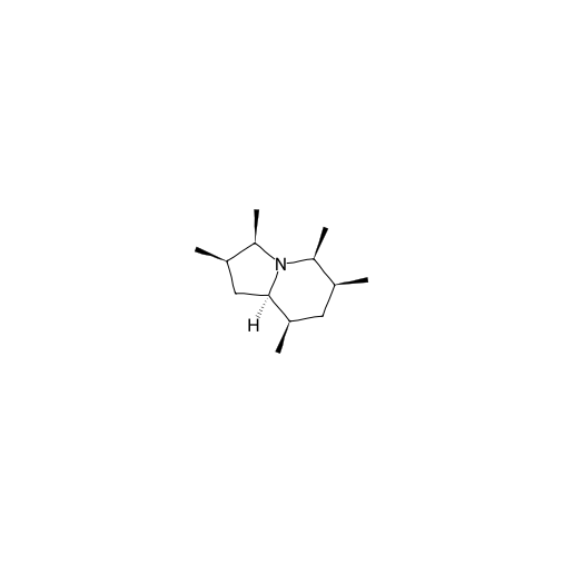 C[C@@H]1C[C@@H]2[C@H](C)C[C@H](C)[C@H](C)N2[C@@H]1C